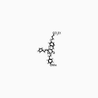 CCOC(=O)CCCOc1ccc(C[C@H](NC(=O)CCC2CCCC2)C(=O)NCCc2ccc(OC)cc2)cc1